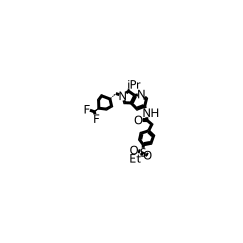 CCS(=O)(=O)c1ccc(CC(=O)Nc2cnc3c(c2)CN(C[C@H]2CC[C@H](C(F)F)CC2)[C@H]3C(C)C)cc1